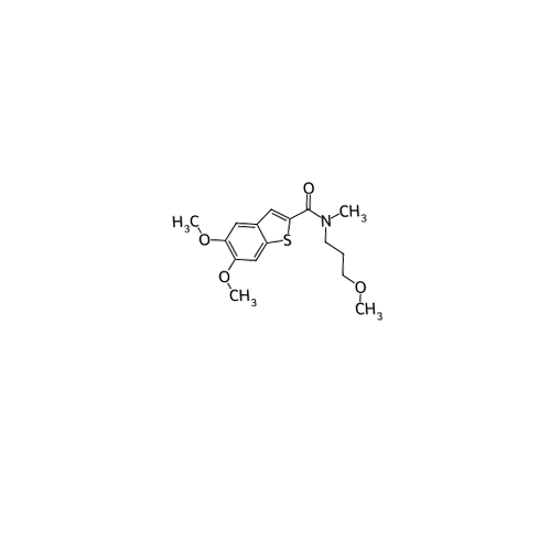 COCCCN(C)C(=O)c1cc2cc(OC)c(OC)cc2s1